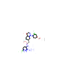 COc1ccc(-n2ccc(=O)c3cc(F)c(CC(=O)Nc4ccc(Cl)nc4N)cc32)c(Cl)c1